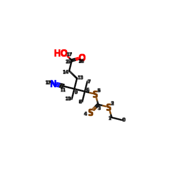 CCSC(=S)SC(C)(C)C(C)(C#N)CCC(=O)O